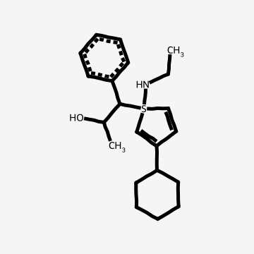 CCNS1(C(c2ccccc2)C(C)O)C=CC(C2CCCCC2)=C1